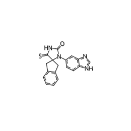 O=C1NC(=S)C2(Cc3ccccc3C2)N1c1ccc2[nH]cnc2c1